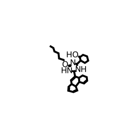 CCCCCCOC1=NC(C2CCCCC2O)NC(C2=CC3C=CC=CC3C3C=CCCC23)N1